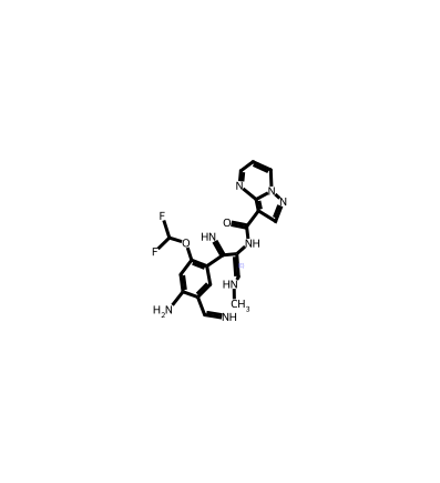 CN/C=C(/NC(=O)c1cnn2cccnc12)C(=N)c1cc(C=N)c(N)cc1OC(F)F